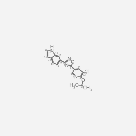 CC(C)Oc1ncc(-c2nc(-c3ccc4cc[nH]c4c3)no2)cc1Cl